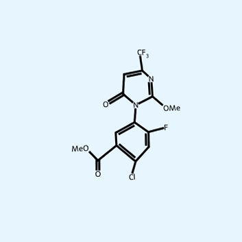 COC(=O)c1cc(-n2c(OC)nc(C(F)(F)F)cc2=O)c(F)cc1Cl